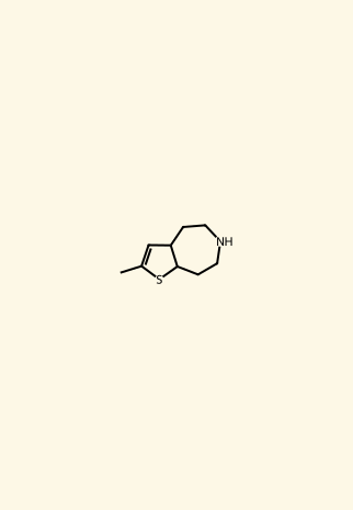 CC1=CC2CCNCCC2S1